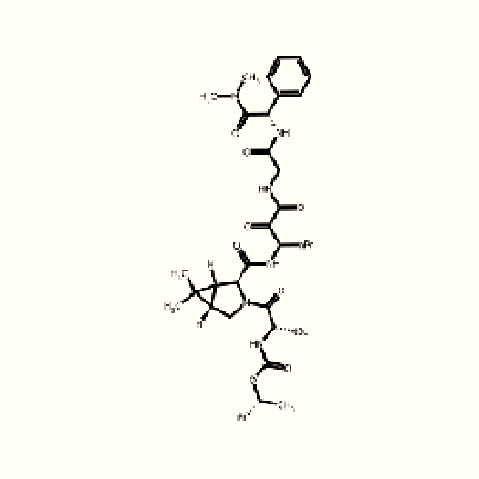 CCCC(NC(=O)[C@@H]1[C@@H]2[C@H](CN1C(=O)[C@@H](NC(=O)O[C@H](C)C(C)C)C(C)(C)C)C2(C)C)C(=O)C(=O)NCC(=O)N[C@H](C(=O)N(C)C)c1ccccc1